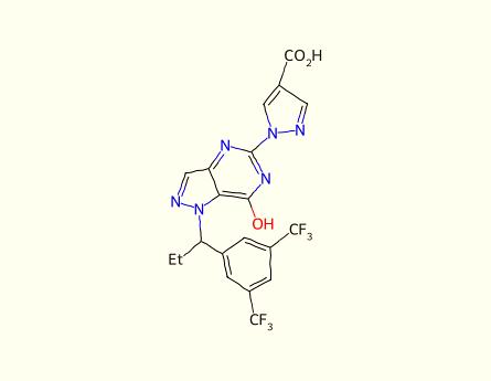 CCC(c1cc(C(F)(F)F)cc(C(F)(F)F)c1)n1ncc2nc(-n3cc(C(=O)O)cn3)nc(O)c21